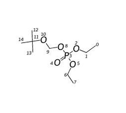 CCOP(=O)(OCC)OCOC(C)(C)C